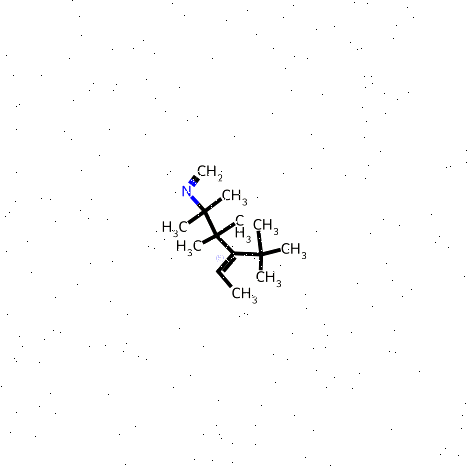 C=NC(C)(C)C(C)(C)/C(=C/C)C(C)(C)C